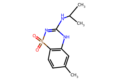 Cc1ccc2c(c1)NC(NC(C)C)=NS2(=O)=O